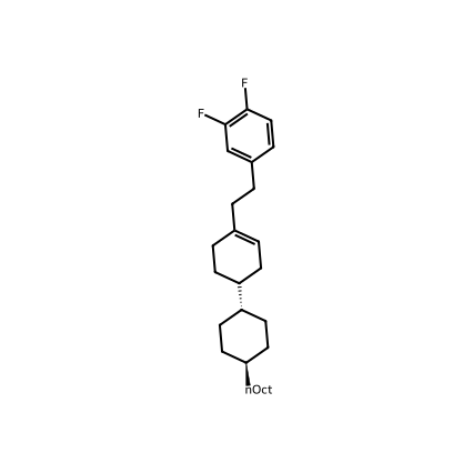 CCCCCCCC[C@H]1CC[C@H](C2CC=C(CCc3ccc(F)c(F)c3)CC2)CC1